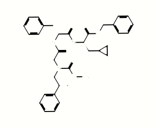 C[C@@H](CN(CC(=O)N[C@H](Cc1ccccc1)C(=O)N[C@H](CC1CC1)C(=O)OCc1ccccc1)C(=O)OC(C)(C)C)c1ccccc1